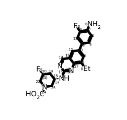 CCc1cc(-c2ccc(N)c(F)c2)cc2cnc(N[C@H]3C[C@H](F)CN(C(=O)O)C3)nc12